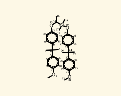 COc1ccc(C(C)(C)c2ccc(OC(C)[Si](C)(C)Oc3ccc(C(C)(C)c4ccc(OC)cc4)cc3)cc2)cc1